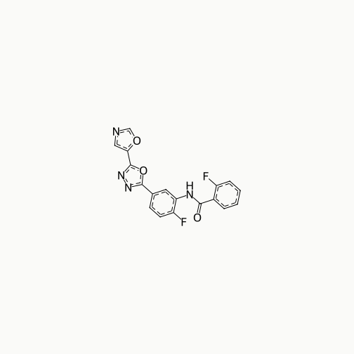 O=C(Nc1cc(-c2nnc(-c3cnco3)o2)ccc1F)c1ccccc1F